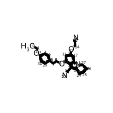 CCOc1ccc(CCOc2cc(OCC#N)cc3c2c(C#N)c2ccccn23)cc1